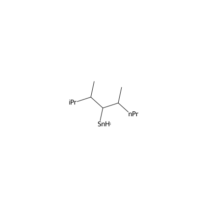 CCCC(C)[CH]([SnH])C(C)C(C)C